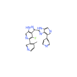 Cc1ccncc1-c1ncc2[nH]nc(-c3nc4c(-c5ccncc5)cncc4[nH]3)c2c1F